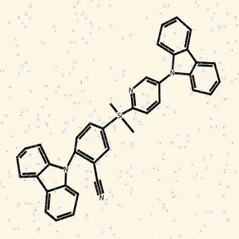 C[Si](C)(c1ccc(-n2c3ccccc3c3ccccc32)c(C#N)c1)c1ccc(-n2c3ccccc3c3ccccc32)cn1